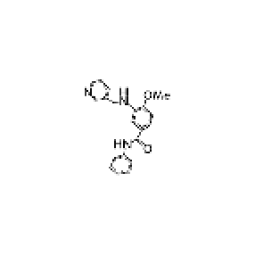 COc1ccc(C(=O)Nc2ccccc2)cc1NCc1cccnc1